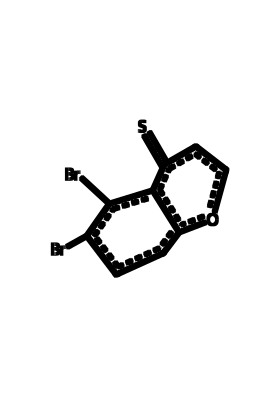 S=c1ccoc2ccc(Br)c(Br)c12